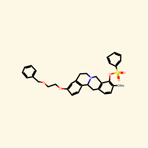 COc1ccc2c(c1OS(=O)(=O)c1ccccc1)CN1CCc3cc(OCCOCc4ccccc4)ccc3C1C2